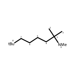 CNC(C)(C)CCCCC(C)(C)C